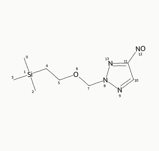 C[Si](C)(C)CCOCn1ncc(N=O)n1